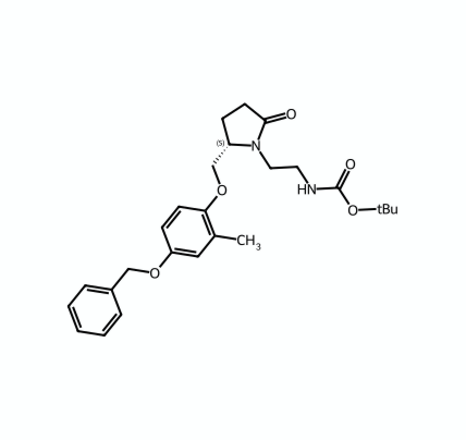 Cc1cc(OCc2ccccc2)ccc1OC[C@@H]1CCC(=O)N1CCNC(=O)OC(C)(C)C